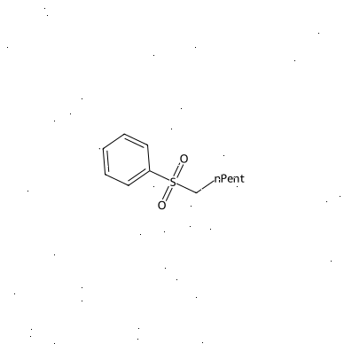 CCCCCCS(=O)(=O)c1cc[c]cc1